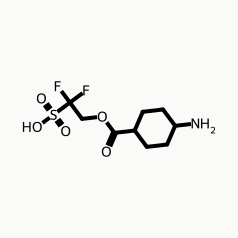 NC1CCC(C(=O)OCC(F)(F)S(=O)(=O)O)CC1